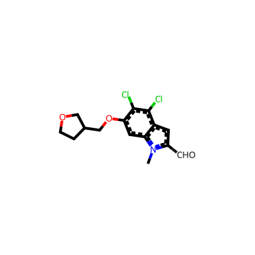 Cn1c(C=O)cc2c(Cl)c(Cl)c(OCC3CCOC3)cc21